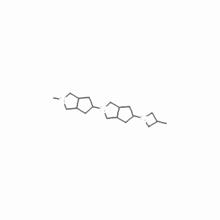 CC1CN(C2CC3CN(C4CC5CN(C)CC5C4)CC3C2)C1